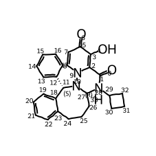 O=C1c2c(O)c(=O)ccn2N2[C@@H](c3ccccc3)c3ccccc3CCC[C@@H]2N1C1CCC1